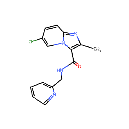 Cc1nc2ccc(Cl)cn2c1C(=O)NCc1ccccn1